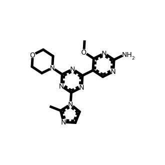 COc1nc(N)ncc1-c1nc(N2CCOCC2)nc(-n2ccnc2C)n1